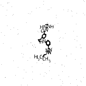 CC(C)=CCn1nnc(-c2cccc(Nc3ccc(C(=O)N=C4NCCN4)cc3C3CC3)c2)n1